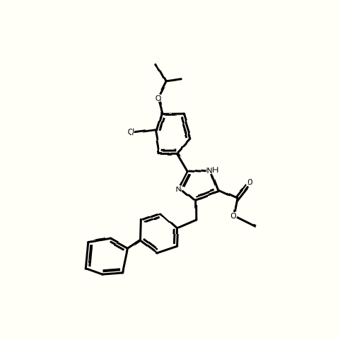 COC(=O)c1[nH]c(-c2ccc(OC(C)C)c(Cl)c2)nc1Cc1ccc(-c2ccccc2)cc1